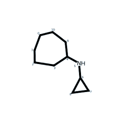 C1CCCC(NC2CC2)CC1